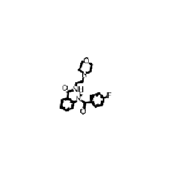 O=C(NCCN1CCOCC1)c1ccccc1N(F)C(=O)c1ccc(F)cc1